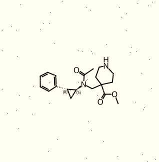 COC(=O)C1(CN(C(C)=O)[C@H]2C[C@@H]2c2ccccc2)CCNCC1